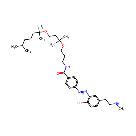 CNCCc1ccc(O)c(/N=N/c2ccc(C(=O)NCCCOC(C)(C)CCOC(C)(C)CCCC(C)C)cc2)c1